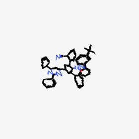 CC(C)(C)c1ccc2c(c1)c1ccccc1n2-c1c(-c2ccccc2C#N)cc(-c2cc(-c3ccccc3)nc(-c3ccccc3)n2)cc1-c1ccccc1C#N